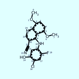 COc1ccc(OC)c2c(Nc3cc(O)c(Cl)cc3F)c(C#N)cnc12